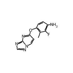 Cc1c(Oc2ccn3ncnc3n2)ccc(N)c1F